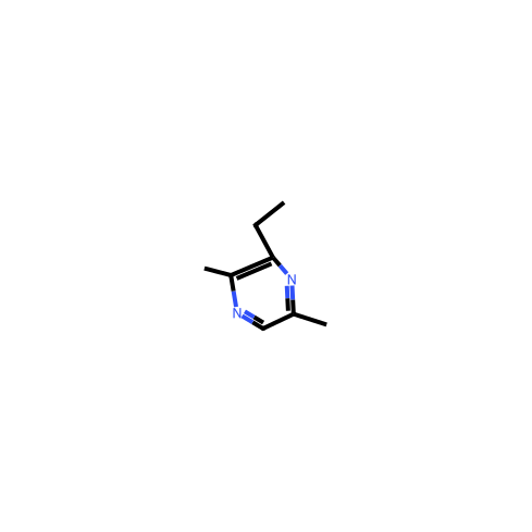 CCc1nc(C)cnc1C